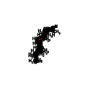 CNCCn1c(C[C@@]23CC[C@]4(C)[C@H](CCC5[C@@]6(C)CC[C@H](OC(=O)CC(C)(Cc7cc(-c8nnc(C(O)[C@@]9%10CC[C@]%11(C)[C@H](CCC%12(C)[C@@]%13(C)CC[C@H](OC(=O)CC(C)(C)C(=O)O)C(C)(C)C%13CC[C@]%12%11C)C9=C(C(C)C)C(=O)C%10)n8CCNC)ccc7C#N)C(=O)O)C(C)(C)C6CC[C@]54C)C2=C(C(C)C)C(=O)C3)nnc1-c1ccc(C#N)cn1